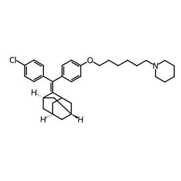 Clc1ccc(C(c2ccc(OCCCCCCN3CCCCC3)cc2)=C2C3C[C@H]4C[C@@H](C3)C[C@H]2C4)cc1